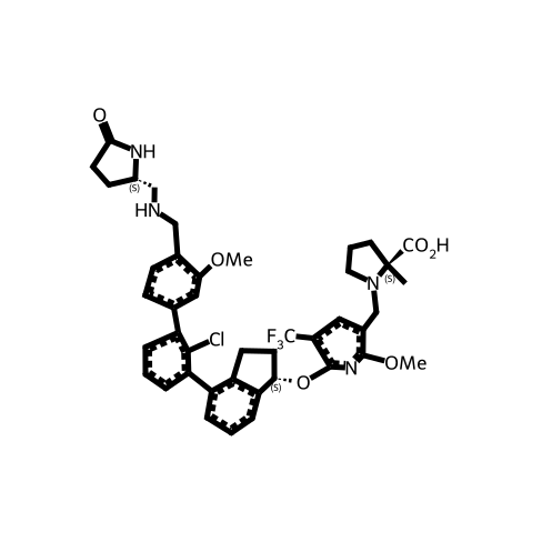 COc1cc(-c2cccc(-c3cccc4c3CC[C@@H]4Oc3nc(OC)c(CN4CCC[C@@]4(C)C(=O)O)cc3C(F)(F)F)c2Cl)ccc1CNC[C@@H]1CCC(=O)N1